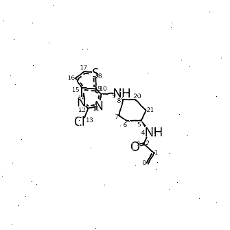 C=CC(=O)N[C@H]1CC[C@@H](Nc2nc(Cl)nc3ccsc23)CC1